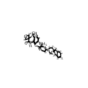 CN1c2nccc(Sc3ncc(N4CCC5(CC4)Cc4ccccc4C5)nc3N)c2NC(=O)C12COC2